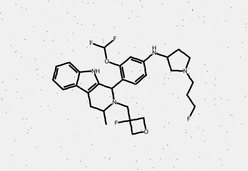 CC1Cc2c([nH]c3ccccc23)C(c2ccc(NC3CCN(CCCF)C3)cc2OC(F)F)N1CC1(F)COC1